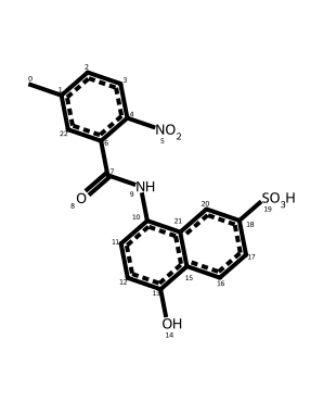 Cc1ccc([N+](=O)[O-])c(C(=O)Nc2ccc(O)c3ccc(S(=O)(=O)O)cc23)c1